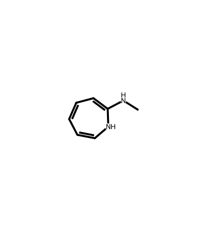 CNC1=CC=CC=CN1